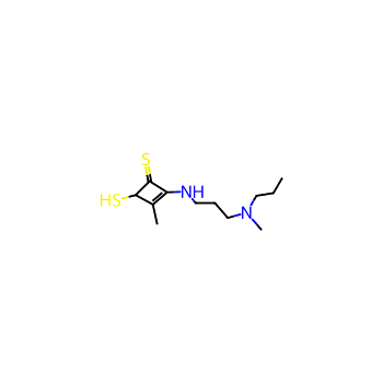 CCCN(C)CCCNC1=C(C)C(S)C1=S